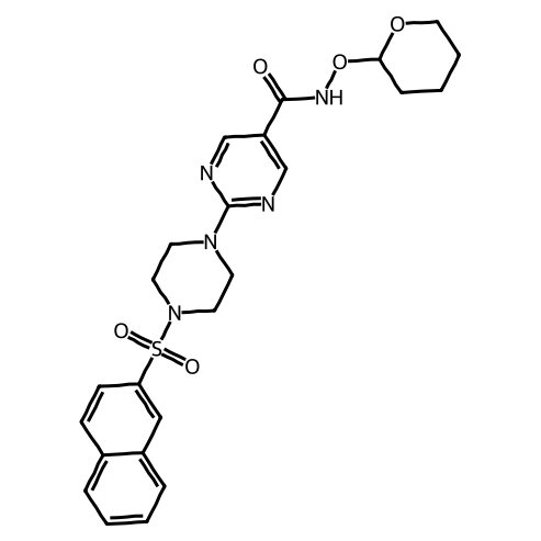 O=C(NOC1CCCCO1)c1cnc(N2CCN(S(=O)(=O)c3ccc4ccccc4c3)CC2)nc1